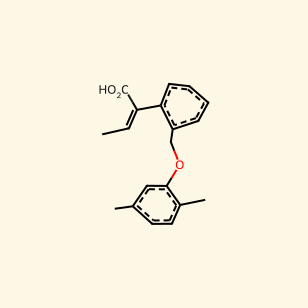 CC=C(C(=O)O)c1ccccc1COc1cc(C)ccc1C